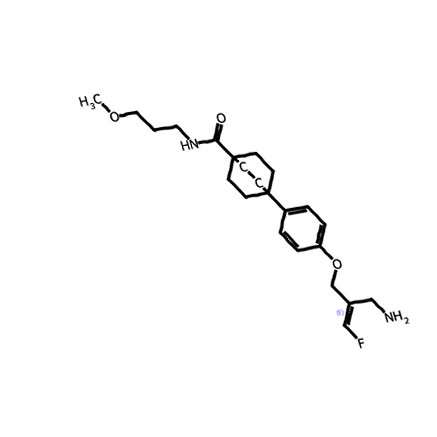 COCCCNC(=O)C12CCC(c3ccc(OC/C(=C/F)CN)cc3)(CC1)CC2